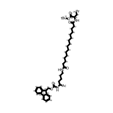 CC(=O)C(CCCCNC(=O)CCCCCCCCCCCCCCC(=O)NC(CC(C)C)C(=O)OC(C)(C)C)NC(=O)OCC1c2ccccc2-c2ccccc21